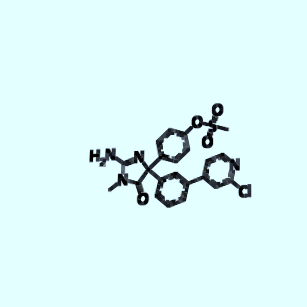 CN1C(=O)C(c2ccc(OS(C)(=O)=O)cc2)(c2cccc(-c3ccnc(Cl)c3)c2)N=C1N